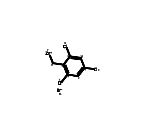 Clc1cc(Cl)c([CH2][Zn+])c(Cl)c1.[Br-]